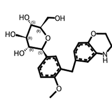 COc1ccc([C@@H]2O[C@H](CO)[C@@H](O)[C@H](O)[C@H]2O)cc1Cc1ccc2c(c1)NCCO2